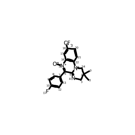 CC1(C)CN=C2C(c3ccc(F)cc3)=[N+]([O-])c3cc(C(F)(F)F)ccc3N2C1